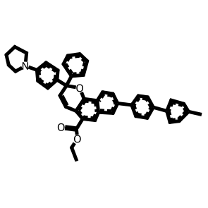 CCOC(=O)c1cc2cc(-c3ccc(-c4ccc(C)cc4)cc3)ccc2c2c1C=CC(c1ccccc1)(c1ccc(N3CCCCC3)cc1)O2